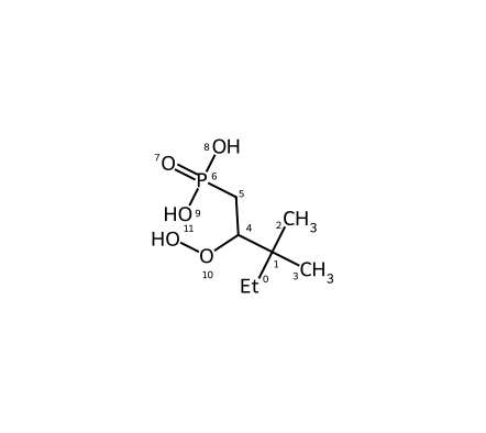 CCC(C)(C)C(CP(=O)(O)O)OO